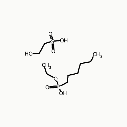 CCCCCCP(=O)(O)OCC.O=S(=O)(O)CCO